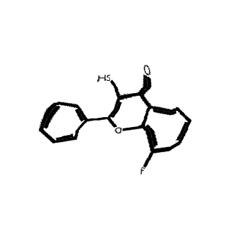 O=c1c(S)c(-c2ccccc2)oc2c(F)cccc12